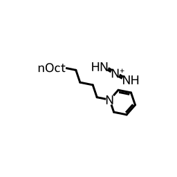 CCCCCCCCCCCCN1C=CC=CC1.N=[N+]=N